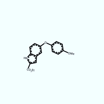 CCOC(=O)c1cc2cc(Oc3ccc(OC)cc3)ccc2[nH]1